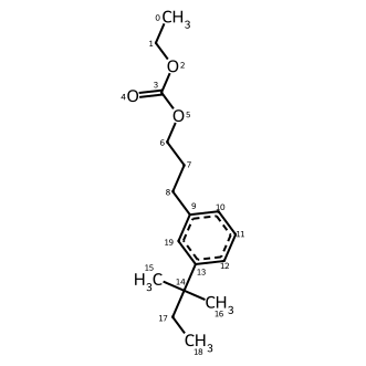 CCOC(=O)OCCCc1cccc(C(C)(C)CC)c1